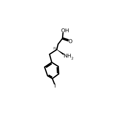 N[C@H](CC(=O)O)Cc1ccc(I)cc1